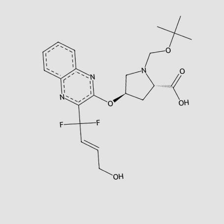 CC(C)(C)OCN1C[C@H](Oc2nc3ccccc3nc2C(F)(F)/C=C/CO)C[C@H]1C(=O)O